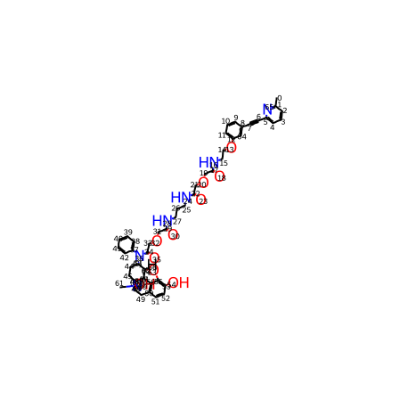 Cc1cccc(C#Cc2cccc(OCCNC(=O)COCC(=O)NCCCNC(=O)COCC(=O)N(c3ccccc3)[C@H]3CC[C@@]4(O)C5Cc6ccc(O)c7c6[C@@]4(CCN5C)[C@H]3O7)c2)n1